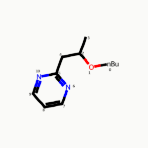 CCCCOC(C)Cc1ncccn1